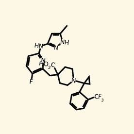 Cc1cc(Nc2ccc(F)c(CC3(C(=O)O)CCN(C4(c5ccccc5C(F)(F)F)CC4)CC3)n2)n[nH]1